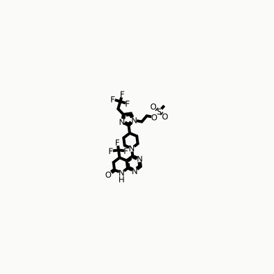 CS(=O)(=O)OCCn1cc(CC(F)(F)F)nc1C1CCN(c2ncnc3c2C(C(F)(F)F)CC(=O)N3)CC1